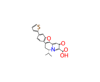 CC(C)[C@@H]1Cc2c(oc3cc(-c4cccs4)ccc23)-c2cc(=O)c(C(=O)O)cn21